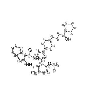 Nc1nn2cccnc2c1C(=O)Nc1cn(C2CCN(CCCC(O)N3CCCCC3)CC2)nc1-c1cc(Cl)ccc1OC(F)F